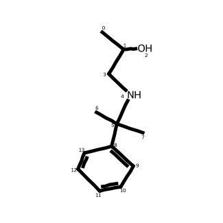 CC(O)CNC(C)(C)c1ccccc1